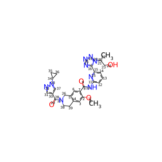 COc1cc2c(cc1C(=O)Nc1cccc(-c3nnnn3[C@H](C)CO)n1)CN(C(=O)c1cnn(C3CC3)c1)CC2